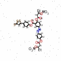 CCC(CC(=O)Oc1ccc(/N=N/c2ccc(OC(=O)CC(CC)O[N+](=O)[O-])c(C(=O)Oc3ccc(-c4cc(=S)ss4)cc3)c2)cc1)O[N+](=O)[O-]